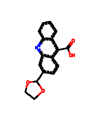 O=C(O)c1c2ccccc2nc2cc(C3OCCO3)ccc12